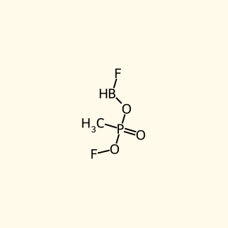 CP(=O)(OF)OBF